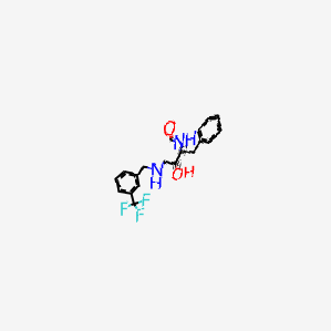 O=CN[C@@H](Cc1ccccc1)[C@H](O)CNCc1cccc(C(F)(F)F)c1